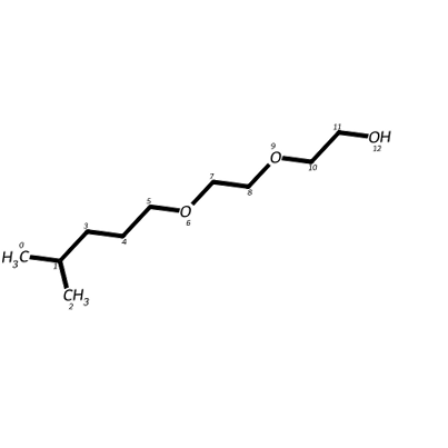 CC(C)CCCOCCOCCO